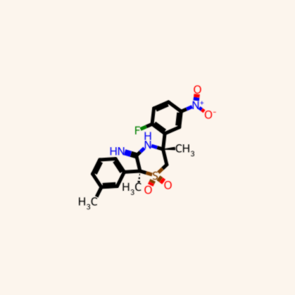 Cc1cccc([C@@]2(C)C(=N)N[C@](C)(c3cc([N+](=O)[O-])ccc3F)CS2(=O)=O)c1